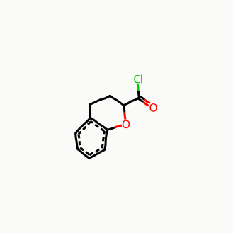 O=C(Cl)C1CCc2ccccc2O1